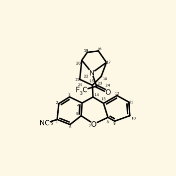 N#Cc1ccc2c(c1)Oc1ccccc1C2C1CC2CCC(C1)N2C(=O)C(F)(F)F